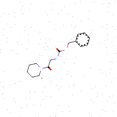 O=C(NCC(=O)N1CCCC[C@@H]1C(=O)O)OCc1ccccc1